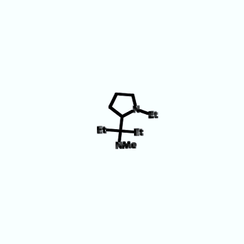 CCN1CCCC1C(CC)(CC)NC